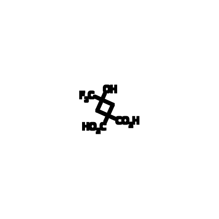 O=C(O)C1(C(=O)O)CC(O)(C(F)(F)F)C1